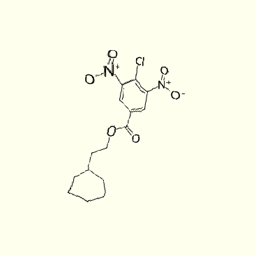 O=C(OCCC1CCCCC1)c1cc([N+](=O)[O-])c(Cl)c([N+](=O)[O-])c1